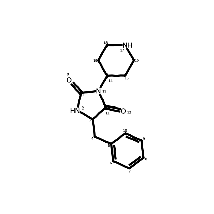 O=C1NC(Cc2ccccc2)C(=O)N1C1CCNCC1